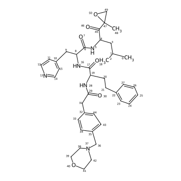 CC(C)CC(NC(=O)C(Cc1ccncc1)NC(=O)C(CCc1ccccc1)NC(=O)Cc1ccc(CN2CCOCC2)cc1)C(=O)C1(C)CO1